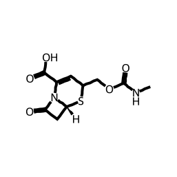 CNC(=O)OCC1C=C(C(=O)O)N2C(=O)C[C@H]2S1